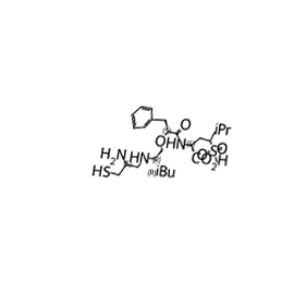 CC[C@@H](C)[C@H](CO[C@@H](Cc1ccccc1)C(=O)N[C@@H](CC(C(C)C)S(C)(=O)=O)C(=O)O)NC[C@H](N)CS